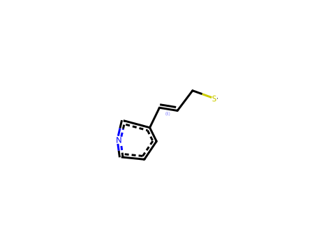 [S]C/C=C/c1cccnc1